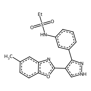 CCS(=O)(=O)Nc1cccc(-c2n[nH]cc2-c2nc3cc(C)ccc3o2)c1